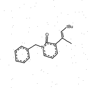 CC(=CC(C)(C)C)c1cccn(Cc2ccccc2)c1=O